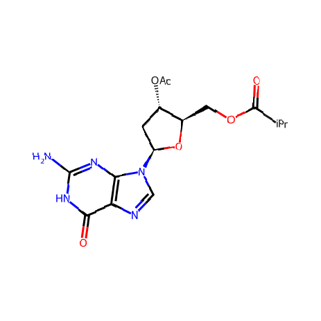 CC(=O)O[C@H]1C[C@H](n2cnc3c(=O)[nH]c(N)nc32)O[C@@H]1COC(=O)C(C)C